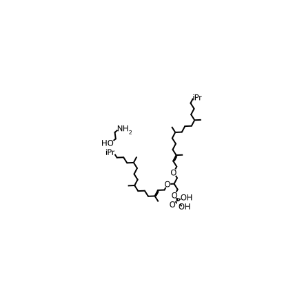 C/C(=C\COCC(COP(=O)(O)O)OC/C=C(\C)CCCC(C)CCCC(C)CCCC(C)C)CCCC(C)CCCC(C)CCCC(C)C.NCCO